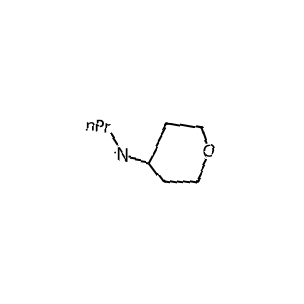 CCC[N]C1CCOCC1